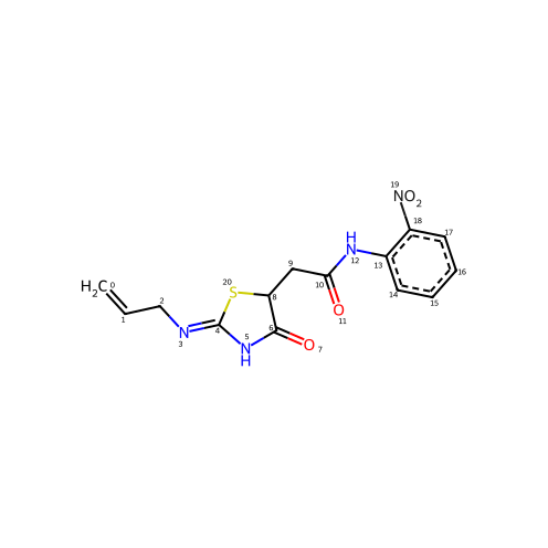 C=CC/N=C1/NC(=O)C(CC(=O)Nc2ccccc2[N+](=O)[O-])S1